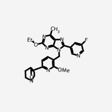 CCOc1nc(C)c2nc(-c3cncc(F)c3)n(Cc3ccc(C4CN5CCC4CC5)nc3OC)c2n1